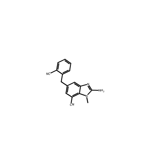 Cn1c(N)nc2cc(Cc3ccccc3C#N)cc(C#N)c21